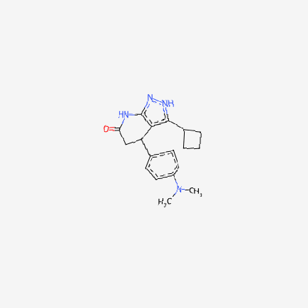 CN(C)c1ccc(C2CC(=O)Nc3n[nH]c(C4CCC4)c32)cc1